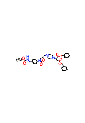 CC(C)(C)OC(=O)NCc1ccc(N2C[C@@H](CN3CCN(C(CC(=O)OCc4ccccc4)C(=O)OCc4ccccc4)CC3)OC2=O)cc1